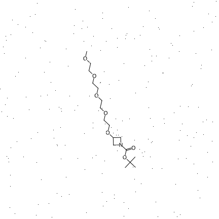 COCCOCCOCCOCCOC1CN(C(=O)OC(C)(C)C)C1